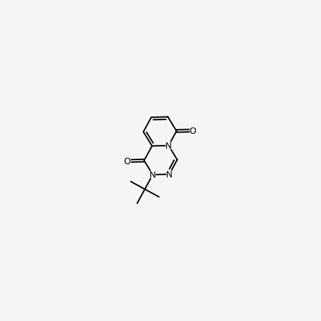 CC(C)(C)n1ncn2c(=O)cccc2c1=O